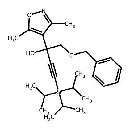 Cc1noc(C)c1C(O)(C#C[Si](C(C)C)(C(C)C)C(C)C)COCc1ccccc1